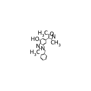 Cc1noc(C)c1-c1cc(O)c2nc(C)n(Cc3ccccc3)c2c1